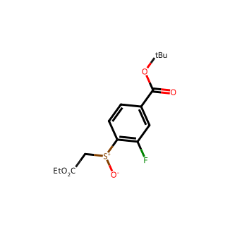 CCOC(=O)C[S+]([O-])c1ccc(C(=O)OC(C)(C)C)cc1F